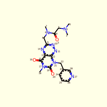 CN(C)CC(=O)N(C)Cc1nnc2c(n1)c(=O)n(C)c(=O)n2Cc1cccnc1